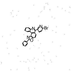 Brc1ccc(-c2nc3ccccc3c3c2ccc2oc(-c4ccccc4)nc23)cn1